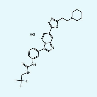 Cl.O=C(NCC(F)(F)F)Nc1cccc(-c2cnc3cc(-c4nnc(CCN5CCCCC5)s4)ccn23)c1